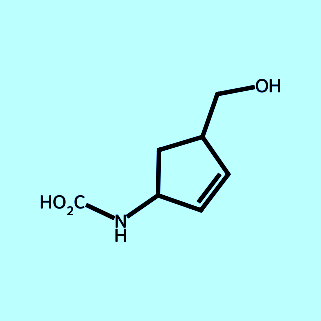 O=C(O)NC1C=CC(CO)C1